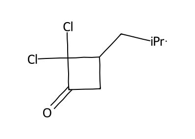 C[C](C)CC1CC(=O)C1(Cl)Cl